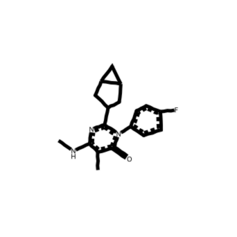 CNc1nc(C2CC3CC3C2)n(-c2ccc(F)cc2)c(=O)c1C